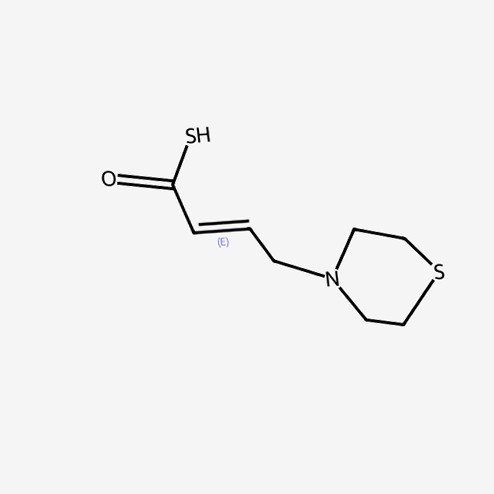 O=C(S)/C=C/CN1CCSCC1